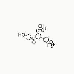 CC(=O)OC1CC(c2ccc(OC(F)(F)F)cc2)CN(C(=O)N2CCC(O)CC2)C1